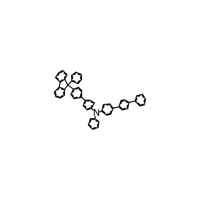 c1ccc(-c2ccc(-c3ccc(N(c4ccccc4)c4ccc(-c5ccc(C6(c7ccccc7)c7ccccc7-c7ccccc76)cc5)cc4)cc3)cc2)cc1